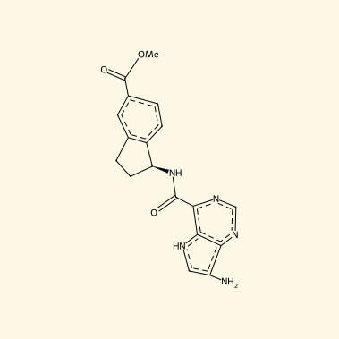 COC(=O)c1ccc2c(c1)CC[C@@H]2NC(=O)c1ncnc2c(N)c[nH]c12